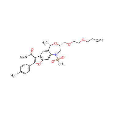 CNC(=O)c1c(-c2ccc(C)cc2)oc2cc3c(cc12)[C@H](C)O[C@H](COCCOCCOC)CN3S(C)(=O)=O